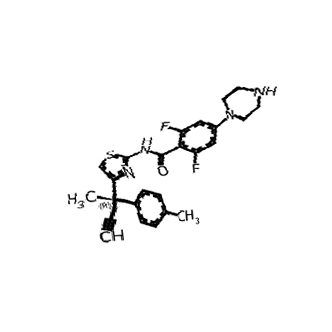 C#C[C@@](C)(c1ccc(C)cc1)c1csc(NC(=O)c2c(F)cc(N3CCNCC3)cc2F)n1